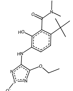 CCOc1n[s+]([O-])nc1Nc1ccc(C(C)(C)C)c(C(=O)N(C)C)c1O